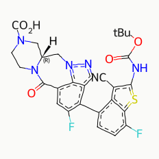 CC(C)(C)OC(=O)Nc1sc2c(F)ccc(-c3c(F)cc4c5c3cnn5C[C@H]3CN(C(=O)O)CCN3C4=O)c2c1C#N